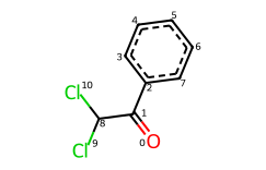 O=C(c1ccccc1)C(Cl)Cl